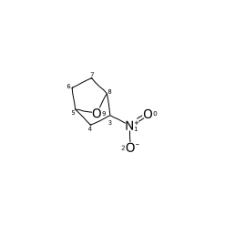 O=[N+]([O-])C1CC2CCC1O2